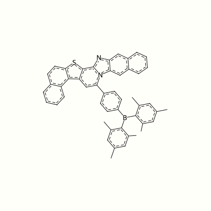 Cc1cc(C)c(B(c2ccc(-c3cc4c(sc5ccc6ccccc6c54)c4nc5cc6ccccc6cc5n34)cc2)c2c(C)cc(C)cc2C)c(C)c1